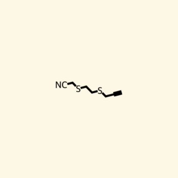 C#CCSCCSCC#N